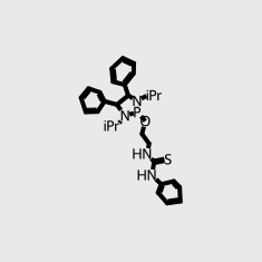 CC(C)N1C(c2ccccc2)C(c2ccccc2)N(C(C)C)P1OCCNC(=S)Nc1ccccc1